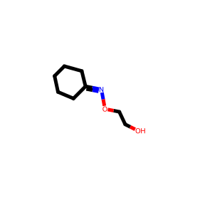 OCCON=C1CCCCC1